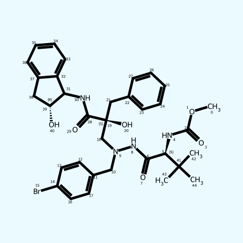 COC(=O)N[C@H](C(=O)NN(Cc1ccc(Br)cc1)C[C@@](O)(Cc1ccccc1)C(=O)NC1c2ccccc2C[C@H]1O)C(C)(C)C